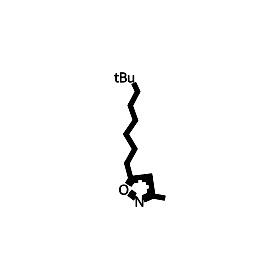 Cc1cc(CCCCCCC(C)(C)C)on1